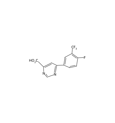 O=C(O)c1cc(-c2ccc(F)c(C(F)(F)F)c2)ncn1